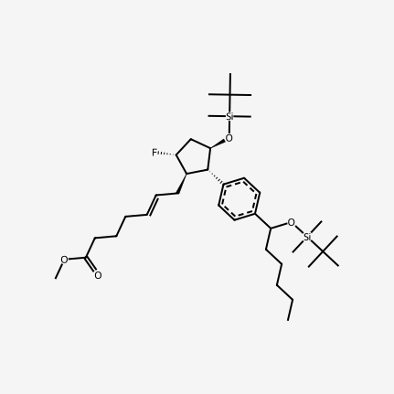 CCCCCC(O[Si](C)(C)C(C)(C)C)c1ccc([C@@H]2[C@@H](CC=CCCCC(=O)OC)[C@H](F)C[C@H]2O[Si](C)(C)C(C)(C)C)cc1